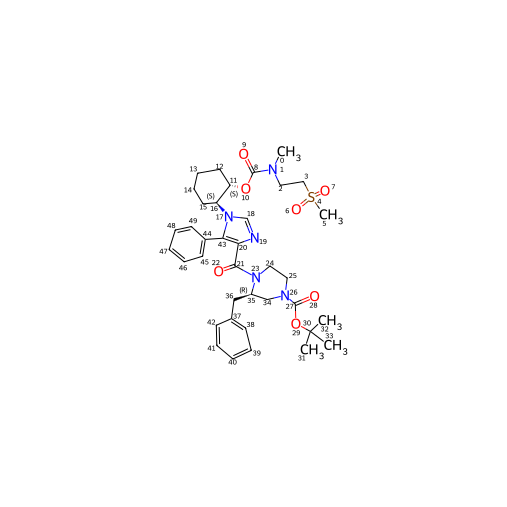 CN(CCS(C)(=O)=O)C(=O)O[C@H]1CCCC[C@@H]1n1cnc(C(=O)N2CCN(C(=O)OC(C)(C)C)C[C@H]2Cc2ccccc2)c1-c1ccccc1